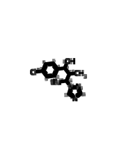 CC(C(O)c1ccc(Cl)cc1)C(n1cncn1)C(C)(C)C